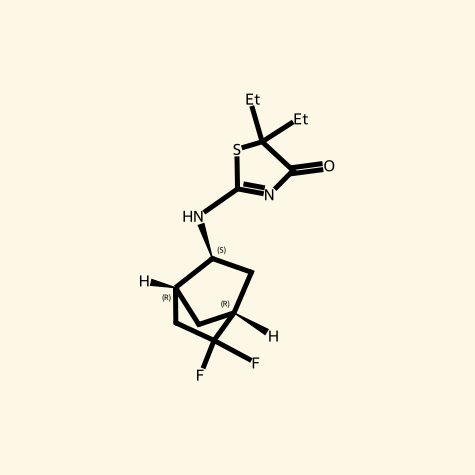 CCC1(CC)SC(N[C@H]2C[C@H]3C[C@@H]2CC3(F)F)=NC1=O